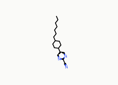 CCCCCCCC1CCC(c2cnc(C#N)nc2)CC1